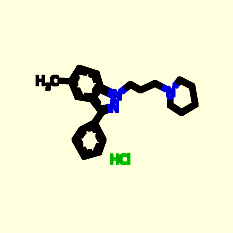 Cc1ccc2c(c1)c(-c1ccccc1)nn2CCCN1CCCCC1.Cl